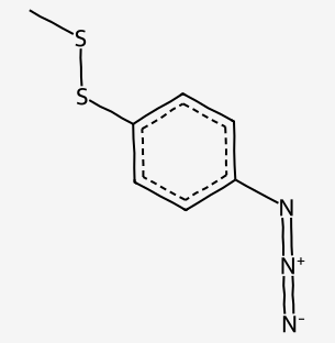 CSSc1ccc(N=[N+]=[N-])cc1